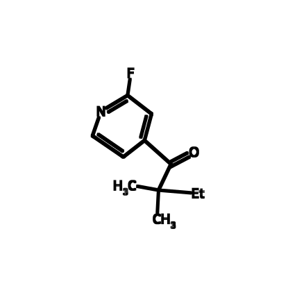 CCC(C)(C)C(=O)c1ccnc(F)c1